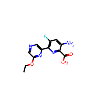 CCOc1cncc(-c2nc(C(=O)O)c(N)cc2F)n1